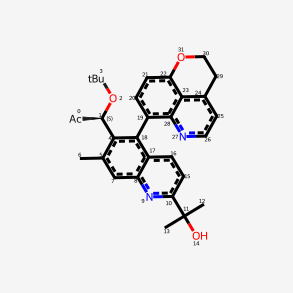 CC(=O)[C@@H](OC(C)(C)C)c1c(C)cc2nc(C(C)(C)O)ccc2c1-c1ccc2c3c(ccnc13)CCO2